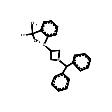 CC(C)(O)c1ccccc1OC1CN(C(c2ccccc2)c2ccccc2)C1